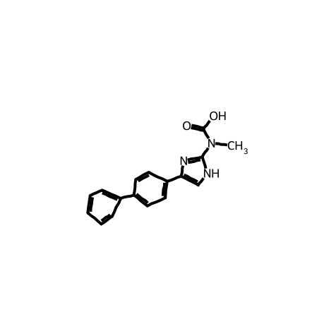 CN(C(=O)O)c1nc(-c2ccc(-c3ccccc3)cc2)c[nH]1